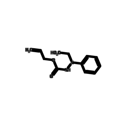 C=CCOC(=O)NN(CC(=O)O)c1ccccc1